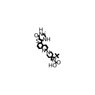 C[C@@H]1CNc2c(sc3ccc4nc(N5CCC6(CC5)CN(C(=O)O)[C@@H]6C(C)(C)C)ccc4c23)C(=O)N1